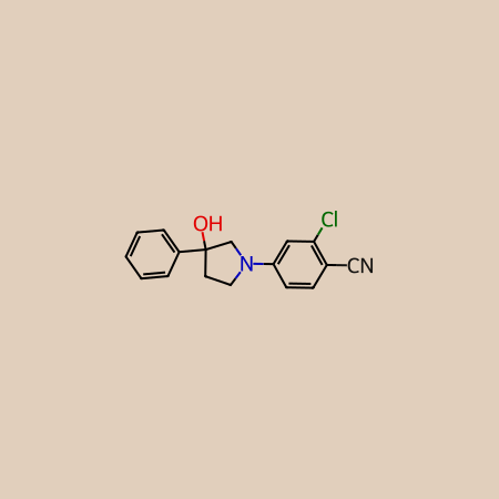 N#Cc1ccc(N2CCC(O)(c3ccccc3)C2)cc1Cl